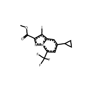 COC(=O)c1nn2c(C(F)(F)F)cc(C3CC3)cc2c1I